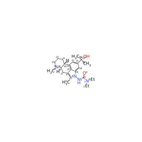 CCN(CC)C(=O)Nn1c(C)c2c3c(cc(C(C)(C)O)cc31)[C@H]1CCCN(C)[C@@H]1C2